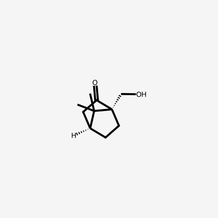 CC1(C)[C@H]2CC[C@]1(CO)C(=O)C2